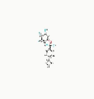 Fc1cc(OC(F)(F)c2ccc(C3CCC3)cc2)cc(F)c1F